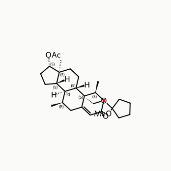 COC1(OC[C@@]23C(=CC(=O)C[C@@H]2C)C[C@@H](C)[C@H]2[C@@H]4CC[C@H](OC(C)=O)[C@@]4(C)CC[C@@H]23)CCCC1